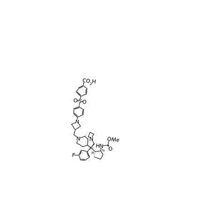 COC(=O)N[C@H]1CCC[C@@H]1[C@](CN1CCC1)(c1cccc(F)c1)C1CCN(CC2CN(c3ccc(S(=O)(=O)c4ccc(C(=O)O)cc4)cc3)C2)CC1